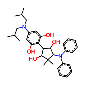 CC(C)CN(CC(C)C)c1cc(O)c(C2C(O)C(N(c3ccccc3)c3ccccc3)C(C)(C)C2O)c(O)c1